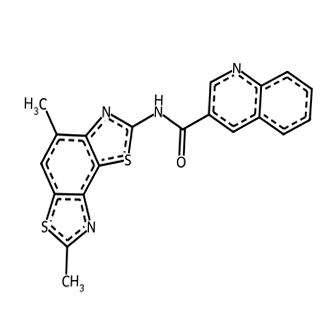 Cc1nc2c(cc(C)c3nc(NC(=O)c4cnc5ccccc5c4)sc32)s1